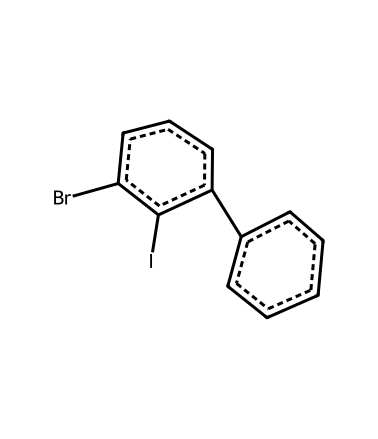 Brc1cccc(-c2ccccc2)c1I